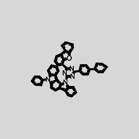 c1ccc(-c2ccc(-c3nc(-c4cccc5c4oc4ccccc45)nc(-n4c5ccccc5c5ccc6c(c7ccccc7n6-c6ccccc6)c54)n3)cc2)cc1